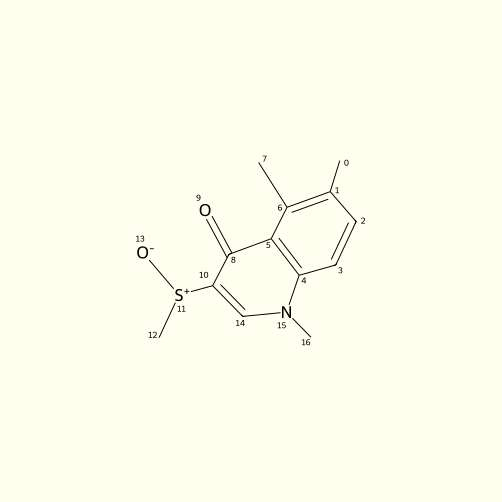 Cc1ccc2c(c1C)c(=O)c([S+](C)[O-])cn2C